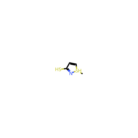 C[SH]1C=CC(S)=N1